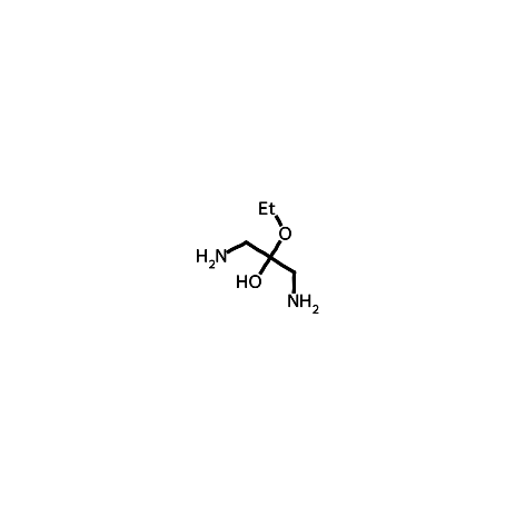 CCOC(O)(CN)CN